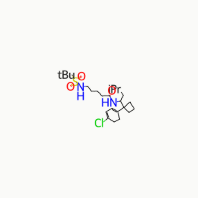 CC(C)CC(NC(=O)CCCCNS(=O)(=O)C(C)(C)C)C1(C2=CC=C(Cl)CC2)CCC1